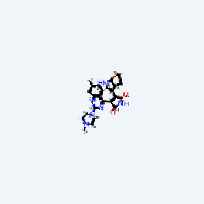 Cc1ccc2c(C3=C(c4c[nH]c5sccc45)C(=O)NC3=O)nc(N3CCN(C)CC3)nc2c1